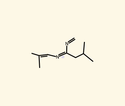 C=N/C(CC(C)C)=N\C=C(C)C